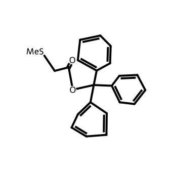 CSCC(=O)OC(c1ccccc1)(c1ccccc1)c1ccccc1